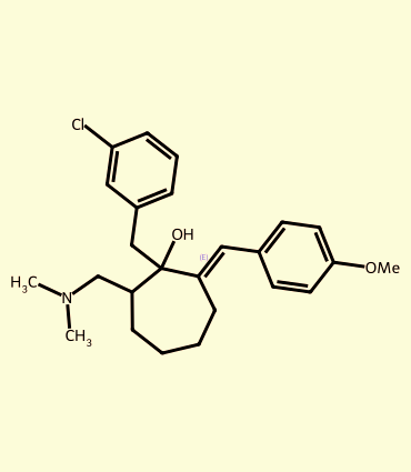 COc1ccc(/C=C2\CCCCC(CN(C)C)C2(O)Cc2cccc(Cl)c2)cc1